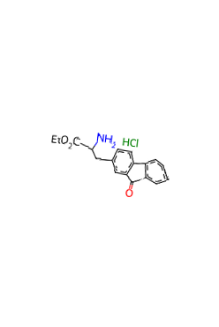 CCOC(=O)C(N)Cc1ccc2c(c1)C(=O)c1ccccc1-2.Cl